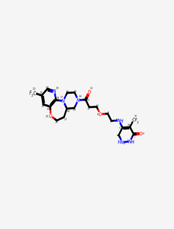 O=C1NNCC(NCCOCCC(=O)N2CCN3c4ncc(C(F)(F)F)cc4OCCC3C2)=C1C(F)(F)F